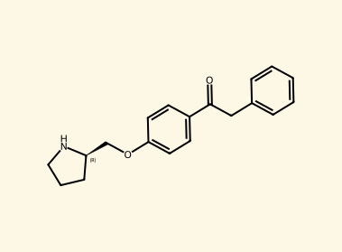 O=C(Cc1ccccc1)c1ccc(OC[C@H]2CCCN2)cc1